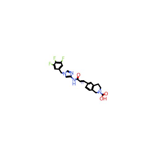 O=C(/C=C/c1ccc2c(c1)CCN(C(=O)O)C2)Nc1cn(Cc2cc(F)c(F)c(F)c2)cn1